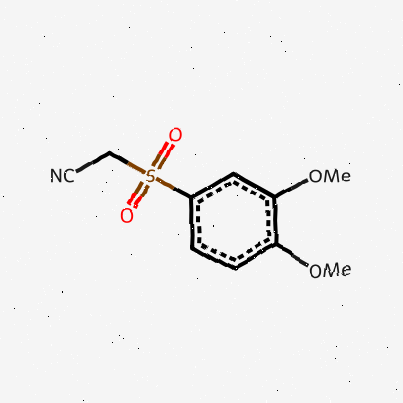 COc1ccc(S(=O)(=O)CC#N)cc1OC